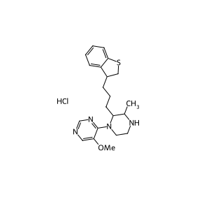 COc1cncnc1N1CCNC(C)C1CCCC1CSc2ccccc21.Cl